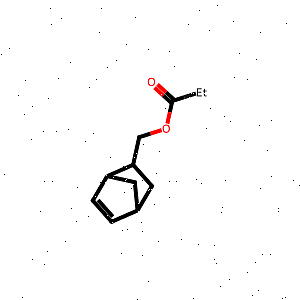 CCC(=O)OCC1CC2C=CC1C2